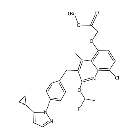 Cc1c(Cc2ccc(-n3nccc3C3CC3)cc2)c(OC(F)F)nc2c(Cl)ccc(OCC(=O)OC(C)(C)C)c12